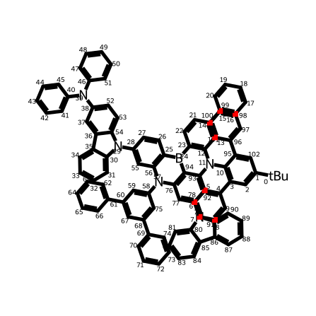 CC(C)(C)c1cc(-c2ccccc2)c(N2c3cc(-c4ccccc4)ccc3B3c4ccc(-n5c6ccccc6c6cc(N(c7ccccc7)c7ccccc7)ccc65)cc4N(c4cc(-c5ccccc5)cc(-c5ccccc5)c4)c4cc(-n5c6ccccc6c6ccccc65)cc2c43)c(-c2ccccc2)c1